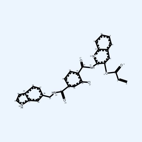 C=CC(=O)Oc1cc2ccccc2nc1NC(=O)c1ccc(C(=O)NCc2ccc3cc[nH]c3c2)cc1Cl